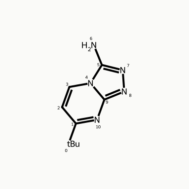 CC(C)(C)c1ccn2c(N)nnc2n1